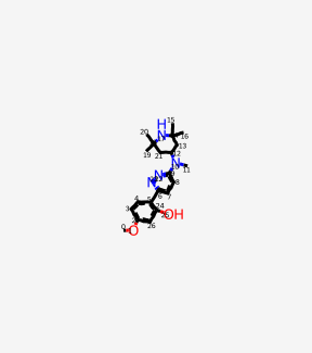 COc1ccc(-c2ccc(N(C)C3CC(C)(C)NC(C)(C)C3)nn2)c(O)c1